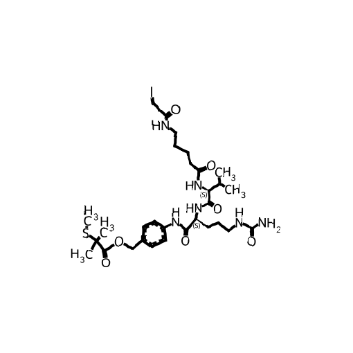 CSC(C)(C)C(=O)OCc1ccc(NC(=O)[C@H](CCCNC(N)=O)NC(=O)[C@@H](NC(=O)CCCCNC(=O)CI)C(C)C)cc1